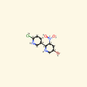 O=[N+]([O-])c1cc(Br)cnc1-c1ccc(Cl)nc1